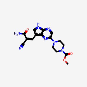 COC(=O)N1CCN(c2cnc3[nH]cc(C=C(C#N)C(N)=O)c3n2)CC1